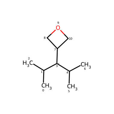 CC(C)[C](C(C)C)C1COC1